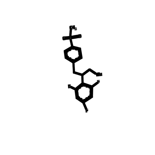 CC(C)(C)CC(Cc1ccc(S(C)(=O)=O)cc1)c1c(F)cc(F)cc1F